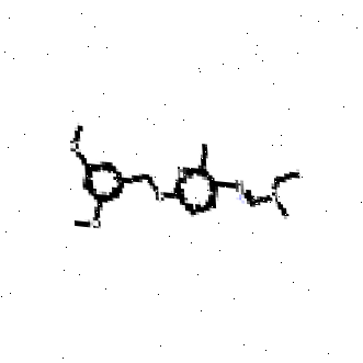 CCN(C)/C=N/c1ccc(OCc2cc(OC)cc(OC)c2)nc1C